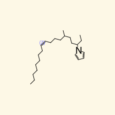 CCCCCCCC/C=C\CCCC(C)CCC(CC)n1cccc1